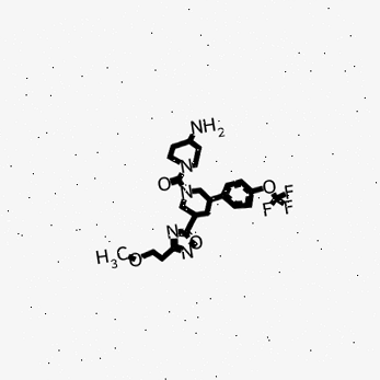 COCCc1noc(C2CC(c3ccc(OC(F)(F)F)cc3)CN(C(=O)N3CCC(N)CC3)C2)n1